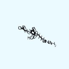 Cl.NOCCCCCCOc1c(Cl)cc(OCC=C(Cl)Cl)cc1Cl